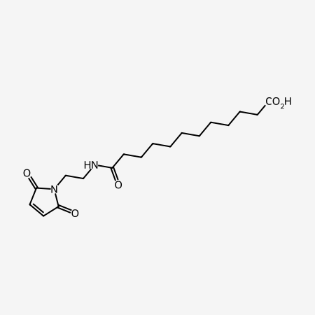 O=C(O)CCCCCCCCCCC(=O)NCCN1C(=O)C=CC1=O